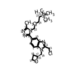 Cc1nnc(-c2ccc3c(c2)nc(CCl)n3C[C@@H]2CCO2)n1COCC[Si](C)(C)C